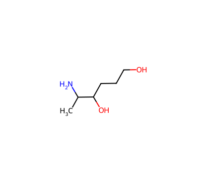 CC(N)C(O)CCCO